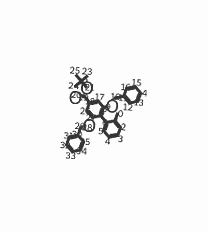 Cc1ccccc1-c1c(OCc2ccccc2)cc(C(=O)OC(C)(C)C)cc1OCc1ccccc1